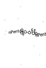 CCCCCOc1ccc(-c2ccc(-c3ccc(C4OCC(CCCCC)CO4)c(F)c3)cc2)c(F)c1F